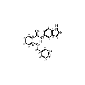 O=C(Nc1ccc2[nH]ncc2c1)c1ccccc1SCc1ccncc1